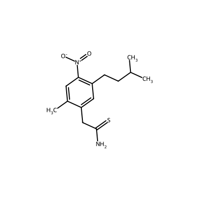 Cc1cc([N+](=O)[O-])c(CCC(C)C)cc1CC(N)=S